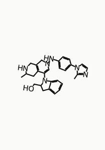 Cc1nccn1-c1ccc(NN2C=C(N3c4ccccc4CC3CO)C3=C(CNC(C)C3)C2)cc1